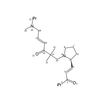 CC(C)C(=O)/C=C/[C@@H]1CCCN1CC(C)(C)C(=O)/C=C/CN(C)C(C)C